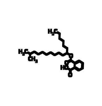 CCCCCCC(CCCCCCCCC(C)C)OC(=O)c1ccccc1C(=O)O